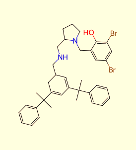 CC(C)(C1=CC(CNCC2CCCN2Cc2cc(Br)cc(Br)c2O)CC(C(C)(C)c2ccccc2)=C1)c1ccccc1